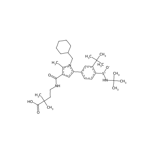 Cc1c(C(=O)NCCC(C)(C)C(=O)O)cc(-c2ccc([S+]([O-])NC(C)(C)C)c(C(C)(C)C)c2)n1CC1CCCCC1